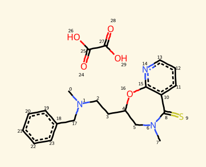 CN(CCC1CN(C)C(=S)c2cccnc2O1)Cc1ccccc1.O=C(O)C(=O)O